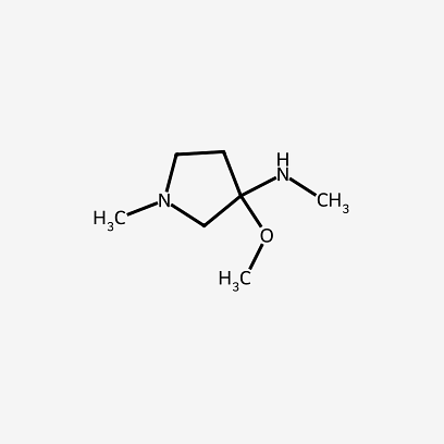 CNC1(OC)CCN(C)C1